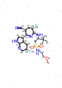 COCCNS(=O)(=O)CC(Nc1nc(-c2c[nH]c3ncc(F)cc23)c(C#N)cc1F)C(C)(C)C